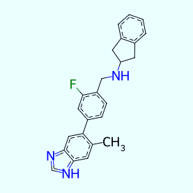 Cc1cc2[nH]cnc2cc1-c1ccc(CNC2Cc3ccccc3C2)c(F)c1